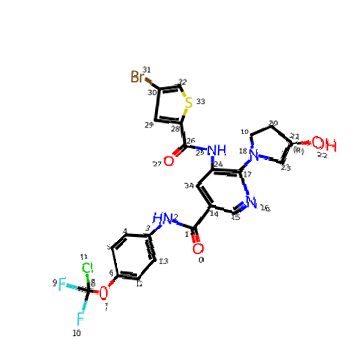 O=C(Nc1ccc(OC(F)(F)Cl)cc1)c1cnc(N2CC[C@@H](O)C2)c(NC(=O)c2cc(Br)cs2)c1